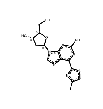 Cc1csc(-c2nc(N)nc3c2ncn3[C@H]2C[C@H](O)[C@@H](CO)O2)n1